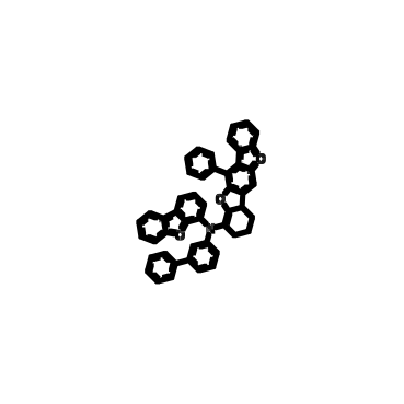 c1ccc(-c2cccc(N(C3=C4Oc5c(cc6oc7ccccc7c6c5-c5ccccc5)C4CCC3)c3cccc4c3oc3ccccc34)c2)cc1